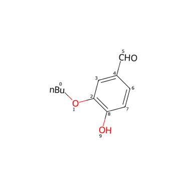 CCCCOc1cc(C=O)ccc1O